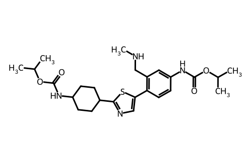 CNCc1cc(NC(=O)OC(C)C)ccc1-c1cnc(C2CCC(NC(=O)OC(C)C)CC2)s1